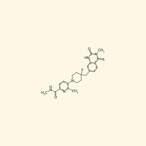 CNC(=O)c1ccc(N2CCC(F)(Cc3ccc4c(=S)n(C)c(=O)[nH]c4c3)CC2)c(C)n1